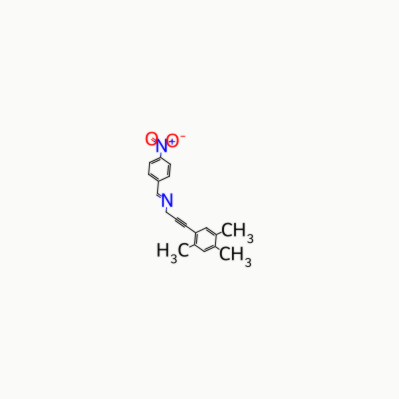 Cc1cc(C)c(C#CCN=Cc2ccc([N+](=O)[O-])cc2)cc1C